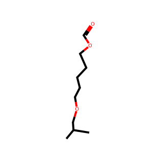 CC(C)COCCCCCOC=O